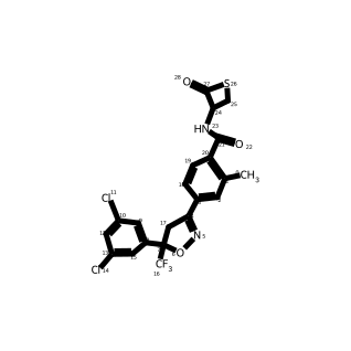 Cc1cc(C2=NOC(c3cc(Cl)cc(Cl)c3)(C(F)(F)F)C2)ccc1C(=O)NC1CSC1=O